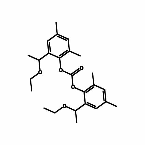 CCOC(C)c1cc(C)cc(C)c1OC(=O)Oc1c(C)cc(C)cc1C(C)OCC